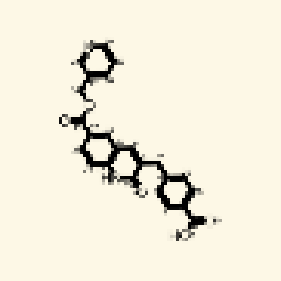 O=C(O)c1ccc(Cc2cc3cc(C(=O)OCc4cccnc4)ccc3[nH]c2=O)cc1